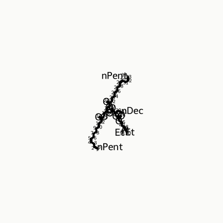 CCCCC/C=C\C/C=C\CCCCCCCC(=O)OCC(COC(=O)CCCCCCC/C=C\C/C=C\CCCCC)OC(=O)C(CCCCCCCCCCCC)OC(=O)OCCCN(CC)CC